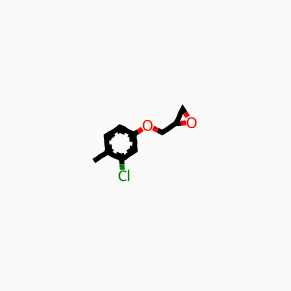 Cc1ccc(OCC2CO2)cc1Cl